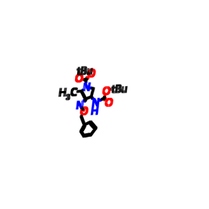 CC1C(=NOCc2ccccc2)C(NC(=O)OC(C)(C)C)CN1C(=O)OC(C)(C)C